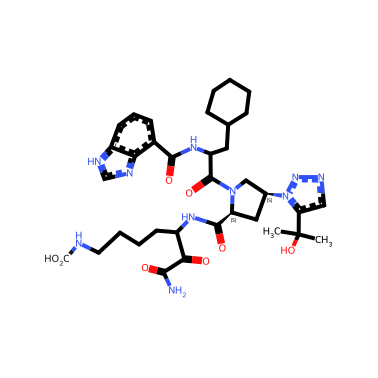 CC(C)(O)c1cnnn1[C@H]1C[C@@H](C(=O)NC(CCCCNC(=O)O)C(=O)C(N)=O)N(C(=O)C(CC2CCCCC2)NC(=O)c2cccc3[nH]cnc23)C1